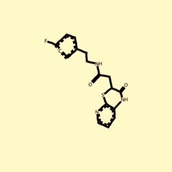 O=C(CC1Sc2ncccc2NC1=O)NCCc1ccc(F)cc1